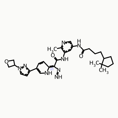 Cc1ncc(NC(=O)CCCC2CCCC2(C)C)cc1NC(=O)/C(N=N)=C1\C=CC(c2ccn(C3COC3)n2)=CN1